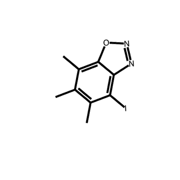 Cc1c(C)c(C)c2onnc2c1I